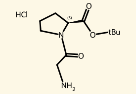 CC(C)(C)OC(=O)[C@@H]1CCCN1C(=O)CN.Cl